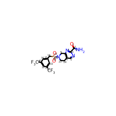 NC(=O)c1n[c]c2c(n1)CN(S(=O)(=O)Cc1cc(C(F)(F)F)cc(C(F)(F)F)c1)CC2